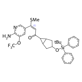 CS/C(=C/C(=O)C1C2CC(O[Si](c3ccccc3)(c3ccccc3)C(C)(C)C)CC21)c1cnc(N)c(OC(F)(F)F)c1